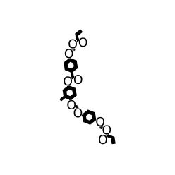 C=CC(=O)OCOc1ccc(OCOc2ccc(OC(=O)c3ccc(OCOC(=O)C=C)cc3)cc2C)cc1